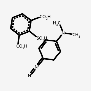 CN(C)C1=CCC(=[N+]=[N-])C=C1.O=C(O)c1cccc(C(=O)O)c1S(=O)(=O)O